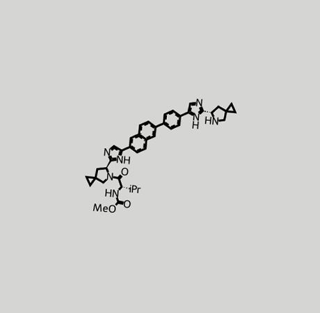 COC(=O)N[C@H](C(=O)N1CC2(CC2)C[C@H]1c1ncc(-c2ccc3cc(-c4ccc(-c5cnc([C@@H]6CC7(CC7)CN6)[nH]5)cc4)ccc3c2)[nH]1)C(C)C